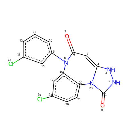 O=C1NNC2=CC(=O)N(c3cccc(Cl)c3)c3cc(Cl)ccc3N12